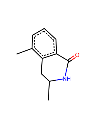 Cc1cccc2c1CC(C)NC2=O